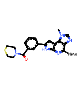 CNc1nc2[nH]c(-c3cccc(C(=O)N4CCSCC4)c3)cc2c2c1ncn2C